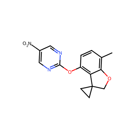 Cc1ccc(Oc2ncc([N+](=O)[O-])cn2)c2c1OCC21CC1